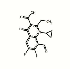 CCc1c(C(=O)O)c(=O)c2cc(F)c(F)c(C=O)c2n1C1CC1